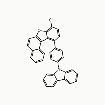 Clc1ccc(-c2ccc(-n3c4ccccc4c4ccccc43)cc2)c2c1oc1ccc3ccccc3c12